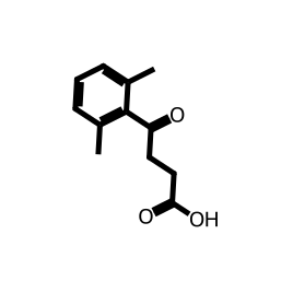 Cc1cccc(C)c1C(=O)CCC(=O)O